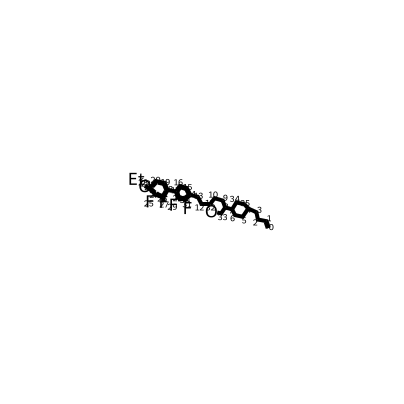 C=CCCC1CCC(C2CCC(CCc3ccc(-c4ccc(OCC)c(F)c4F)c(F)c3F)OC2)CC1